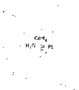 [AlH3].[GeH4].[Pt].[SiH4]